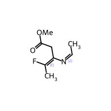 C/C=N\C(CC(=O)OC)=C(/C)F